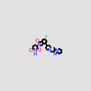 Cc1c(CN2CCC(c3cc(F)cc4c3CN(C3CCC(=O)NC3=O)C4=O)CC2)nc2ccccn12